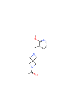 COc1ncccc1CN1CC2(C1)CN(C(C)=O)C2